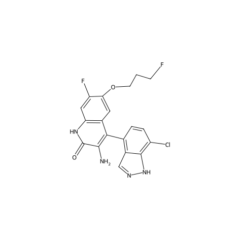 Nc1c(-c2ccc(Cl)c3[nH]ncc23)c2cc(OCCCF)c(F)cc2[nH]c1=O